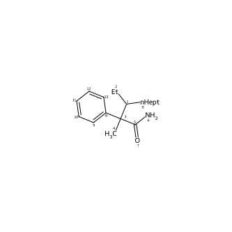 CCCCCCCC(CC)C(C)(C(N)=O)c1ccccc1